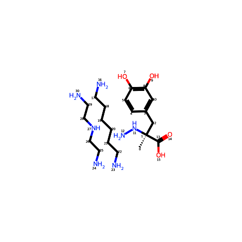 C[C@@](Cc1ccc(O)c(O)c1)(NN)C(=O)O.NCCCCCCN.NCCNCCN